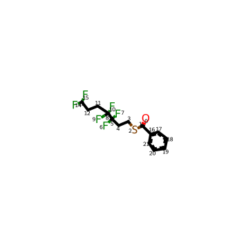 O=C(SCCC(F)(F)C(F)(F)CCC(F)F)c1ccccc1